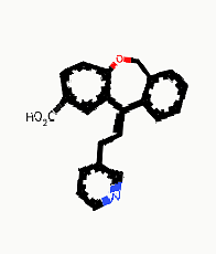 O=C(O)c1ccc2c(c1)C(=CCc1cccnc1)c1ccccc1CO2